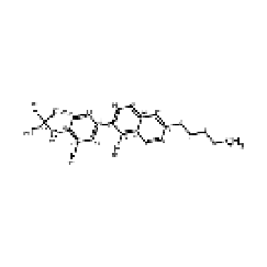 CCCCCc1ccc2c(F)c(-c3ccc(OC(F)(F)F)c(F)c3)ccc2c1